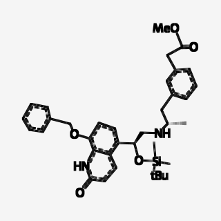 COC(=O)Cc1cccc(C[C@H](C)NC[C@@H](O[Si](C)(C)C(C)(C)C)c2ccc(OCc3ccccc3)c3[nH]c(=O)ccc23)c1